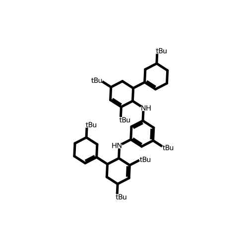 CC(C)(C)C1=CC(C(C)(C)C)CC(C2=CCCC(C(C)(C)C)C2)C1Nc1cc(NC2C(C(C)(C)C)=CC(C(C)(C)C)CC2C2=CCCC(C(C)(C)C)C2)cc(C(C)(C)C)c1